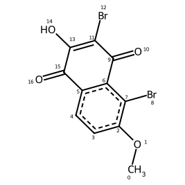 COc1ccc2c(c1Br)C(=O)C(Br)=C(O)C2=O